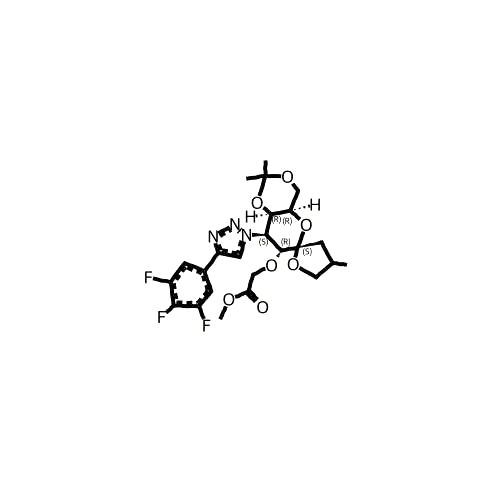 COC(=O)CO[C@@H]1[C@@H](n2cc(-c3cc(F)c(F)c(F)c3)nn2)[C@H]2OC(C)(C)OC[C@H]2O[C@@]12CC(C)CO2